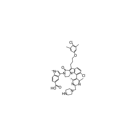 Cc1cc(OCCCc2c3n(c4c(-c5c(C)nc(CN6CCNCC6)nc5C)c(Cl)ccc24)[C@H](C)CN(c2cn(C)c4ccc(C(=O)O)cc24)C3=O)cc(C)c1Cl